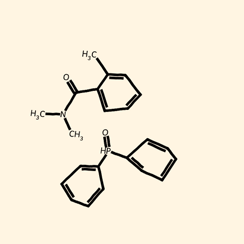 Cc1ccccc1C(=O)N(C)C.O=[PH](c1ccccc1)c1ccccc1